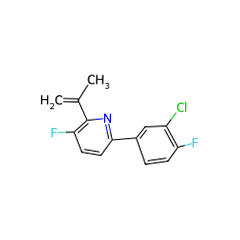 C=C(C)c1nc(-c2ccc(F)c(Cl)c2)ccc1F